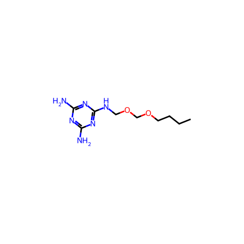 CCCCOCOCNc1nc(N)nc(N)n1